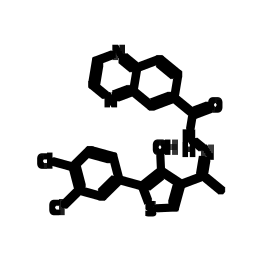 CC(=NNC(=O)c1ccc2nccnc2c1)c1csc(-c2ccc(Cl)c(Cl)c2)c1O